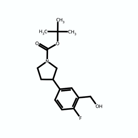 CC(C)(C)OC(=O)N1CCC(c2ccc(F)c(CO)c2)C1